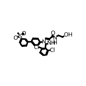 CS(=O)(=O)c1cccc(-c2ccc(N3C=C(C(=O)NCCO)NC3c3c(Cl)cccc3Cl)cc2)c1